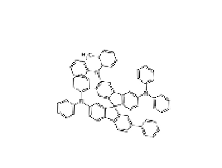 CC1C=CC=CC1N(c1ccccc1)c1ccc2c(c1)-c1cc(N(c3ccccc3)c3ccccc3)ccc1C21c2cc(-c3ccccc3)ccc2-c2ccc(N(c3ccccc3)c3ccccc3)cc21